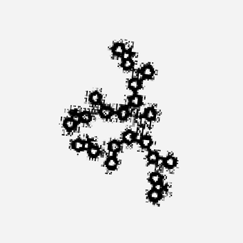 CC1(C)c2ccccc2-c2ccc(-n3c4ccccc4c4cc(-c5ccc6c(c5)c5cc(-c7ccc8c(c7)c7ccccc7n8-c7ccc8c(c7)C(C)(C)c7ccccc7-8)ccc5n6-c5nc(-n6c7ccc(-c8ccc9c(c8)c8ccccc8n9-c8ccc9c(c8)C(C)(C)c8ccccc8-9)cc7c7cc(-c8ccc9c(c8)c8ccccc8n9-c8ccc9c(c8)C(C)(C)c8ccccc8-9)ccc76)c6ccccc6n5)ccc43)cc21